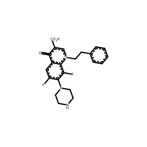 O=C(O)c1cn(CCc2ccccc2)c2c(F)c(N3CCNCC3)c(F)cc2c1=O